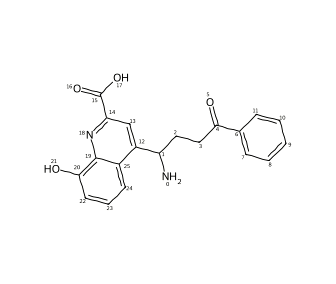 NC(CCC(=O)c1ccccc1)c1cc(C(=O)O)nc2c(O)cccc12